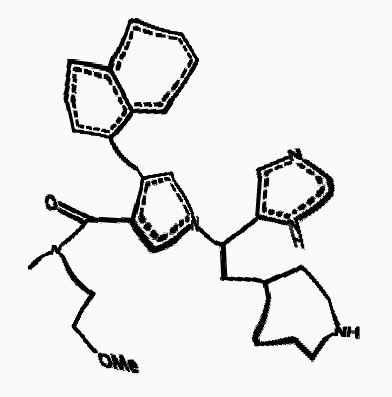 COCCN(C)C(=O)c1cn(C(CC2CCNCC2)c2cnc[nH]2)cc1-c1cccc2ccccc12